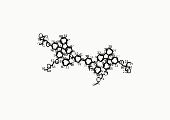 CCOCCOc1ccc(C2(c3ccc(OCC4(CC)COC4)cc3)c3ccccc3-c3ccc(N(c4ccc(-c5ccc(N(c6ccc7c(c6)C(c6ccc(OCCOCC)cc6)(c6ccc(OCC8(CC)COC8)cc6)c6ccccc6-7)c6ccccc6F)cc5)cc4)c4ccccc4F)cc32)cc1